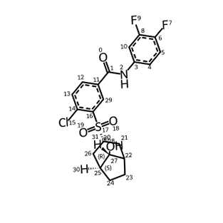 O=C(Nc1ccc(F)c(F)c1)c1ccc(Cl)c(S(=O)(=O)[C@@H]2CC3CC[C@@H](C2)[C@@H]3O)c1